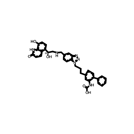 O=C(O)Nc1cc(CCCn2nnc3cc(CNC[C@@H](O)c4ccc(O)c5[nH]c(=O)ccc45)ccc32)ccc1-c1ccccc1